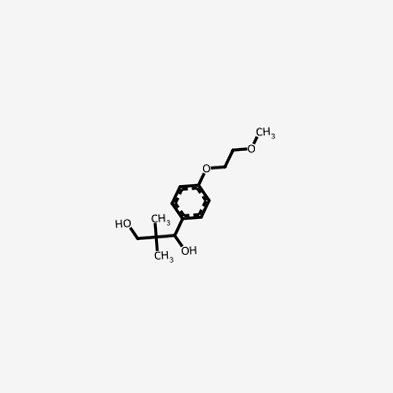 COCCOc1ccc(C(O)C(C)(C)CO)cc1